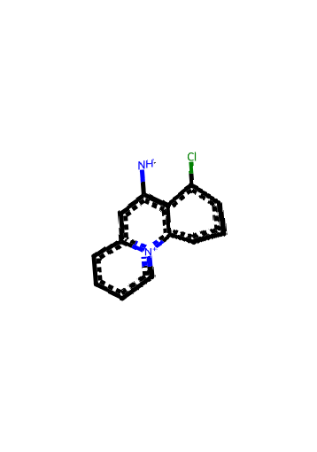 [NH]c1cc2cccc[n+]2c2cccc(Cl)c12